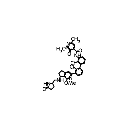 COc1nc(-c2cccc(-c3cccc(NC(=O)c4cc(C)nn(C)c4=O)c3Cl)c2Cl)cc2c1C(NCC1CCC(=O)N1)CC2